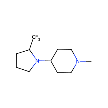 CN1CCC(N2CCCC2C(F)(F)F)CC1